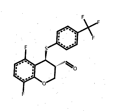 O=C[C@@H]1COc2c(F)ccc(F)c2[C@H]1Sc1ccc(C(F)(F)F)cc1